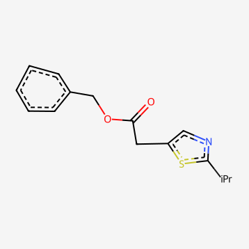 CC(C)c1ncc(CC(=O)OCc2ccccc2)s1